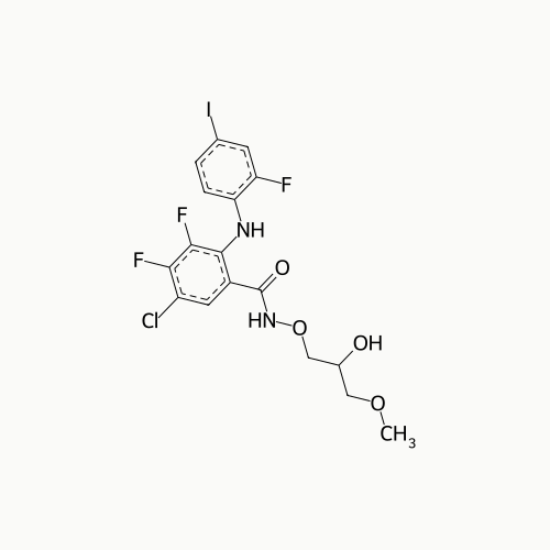 COCC(O)CONC(=O)c1cc(Cl)c(F)c(F)c1Nc1ccc(I)cc1F